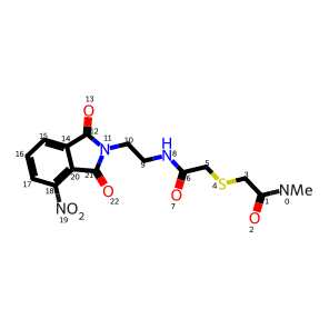 CNC(=O)CSCC(=O)NCCN1C(=O)c2cccc([N+](=O)[O-])c2C1=O